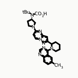 Cc1ccc2ncnc(N3CCCCC3c3cc4nc(N5CC[C@H](N(C(=O)O)C(C)(C)C)C5)ccn4n3)c2c1